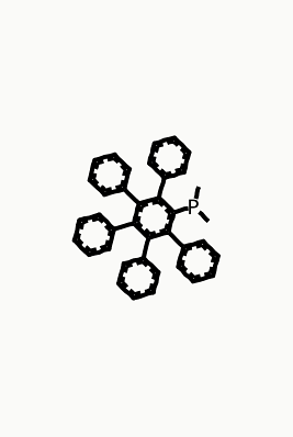 CP(C)c1c(-c2ccccc2)c(-c2ccccc2)c(-c2ccccc2)c(-c2ccccc2)c1-c1ccccc1